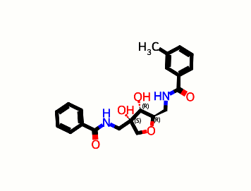 Cc1cccc(C(=O)NC[C@H]2OC[C@@](O)(CNC(=O)c3ccccc3)[C@@H]2O)c1